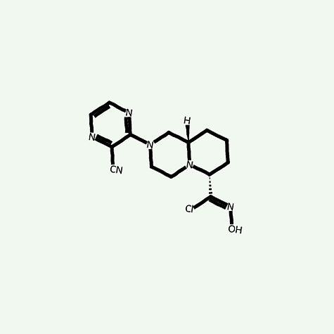 N#Cc1nccnc1N1CCN2[C@@H](CCC[C@@H]2/C(Cl)=N/O)C1